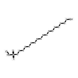 S=S(=S)(NCl)SSSSSSSSSSSSSSSSSSS